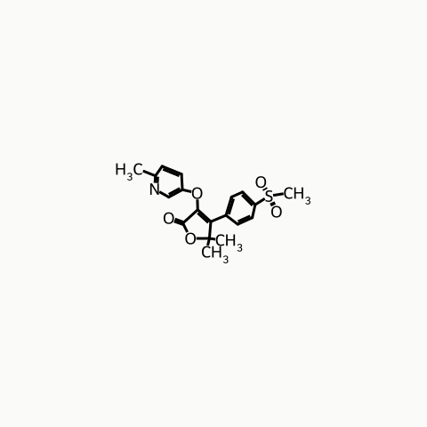 Cc1ccc(OC2=C(c3ccc(S(C)(=O)=O)cc3)C(C)(C)OC2=O)cn1